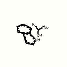 CCCCC(O)CC.c1ccc2[nH]ccc2c1